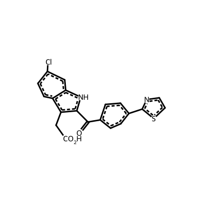 O=C(O)Cc1c(C(=O)c2ccc(-c3nccs3)cc2)[nH]c2cc(Cl)ccc12